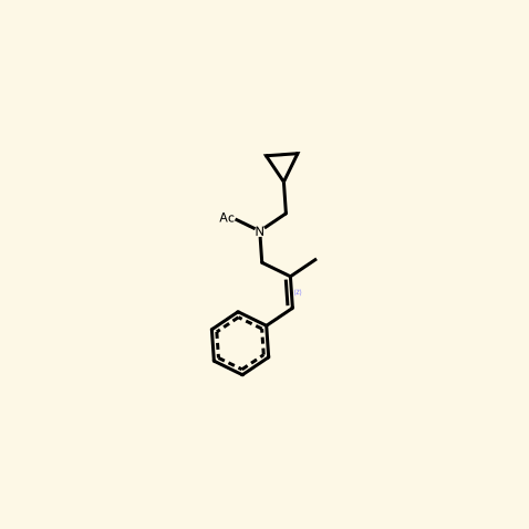 CC(=O)N(C/C(C)=C\c1ccccc1)CC1CC1